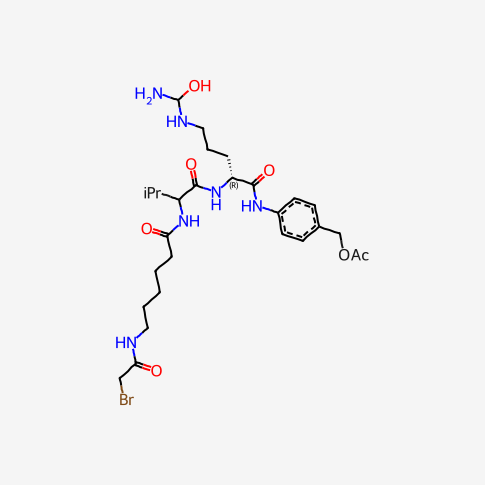 CC(=O)OCc1ccc(NC(=O)[C@@H](CCCNC(N)O)NC(=O)C(NC(=O)CCCCCNC(=O)CBr)C(C)C)cc1